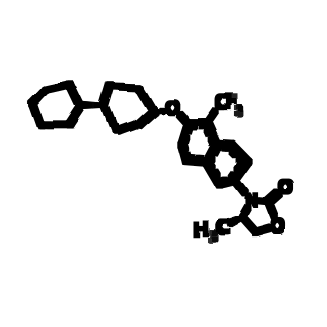 C[C@@H]1COC(=O)N1c1ccc2c(C(F)(F)F)c(O[C@H]3CC[C@H](C4CCCCC4)CC3)ccc2c1